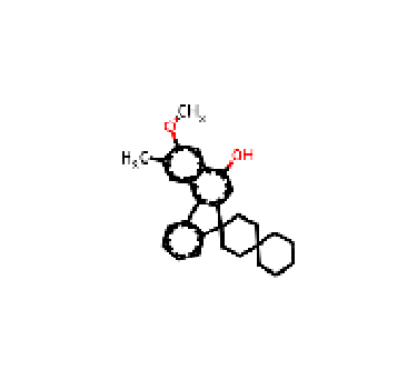 COc1cc2c(O)cc3c(c2cc1C)-c1ccccc1C31CCC2(CCCCC2)CC1